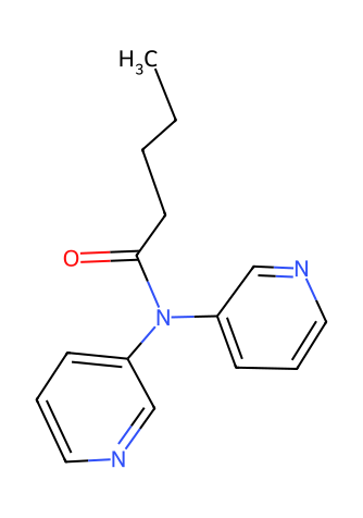 CCCCC(=O)N(c1cccnc1)c1cccnc1